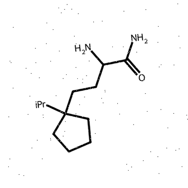 CC(C)C1(CCC(N)C(N)=O)CCCC1